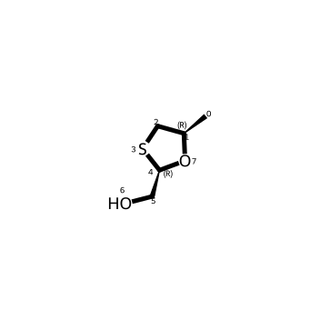 C[C@@H]1CS[C@H](CO)O1